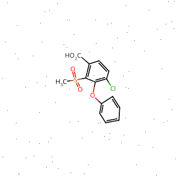 CS(=O)(=O)c1c(C(=O)O)ccc(Cl)c1Oc1ccccc1